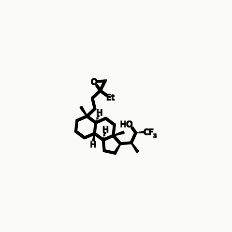 CCC1(CC[C@@]2(C)CCC[C@@H]3[C@@H]2CC[C@]2(C)[C@@H]([C@H](C)[C@H](O)C(F)(F)F)CC[C@@H]32)CO1